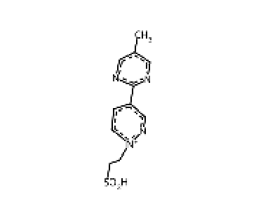 Cc1cnc(-c2cc[n+](CCS(=O)(=O)O)nc2)nc1